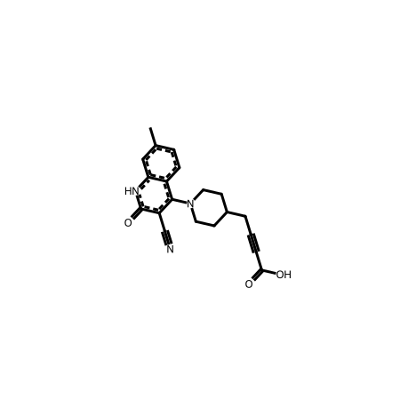 Cc1ccc2c(N3CCC(CC#CC(=O)O)CC3)c(C#N)c(=O)[nH]c2c1